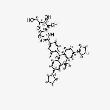 Cc1cc(C(=O)N[C@H]2C(O)[C@H](O)C(CO)O[C@H]2O)ccc1C1=C2C=CC(=[N+]3CCCC3)C=C2[Si](C)(C)c2cc(N3CCCC3)ccc21